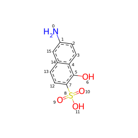 Nc1ccc2c(O)c(S(=O)(=O)O)ccc2c1